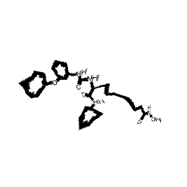 O=C(CCCCC[C@H](NC(=O)Nc1cccc(Oc2ccccc2)c1)C(=O)Nc1ccccc1)NO